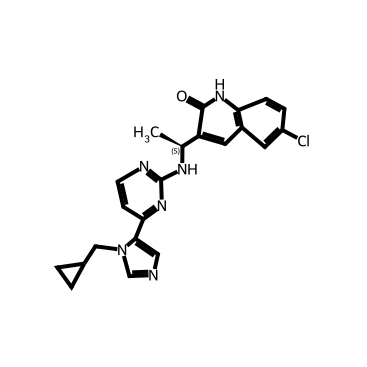 C[C@H](Nc1nccc(-c2cncn2CC2CC2)n1)c1cc2cc(Cl)ccc2[nH]c1=O